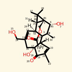 CCCC(=O)OC[C@@]12[C@H](O)[C@@H](C)C3[C@@H](C=C(CO)C[C@]4(O)C(=O)C(C)=C[C@@H]34)[C@@H]1C2(C)C